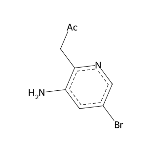 CC(=O)Cc1ncc(Br)cc1N